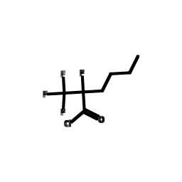 CCCCC(F)(C(=O)Cl)C(F)(F)F